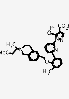 COCC(C)N1CCc2cc(COc3c(C)cccc3-c3cccc(-n4ncc(C(=O)O)c4OC(C)C)n3)ccc2C1